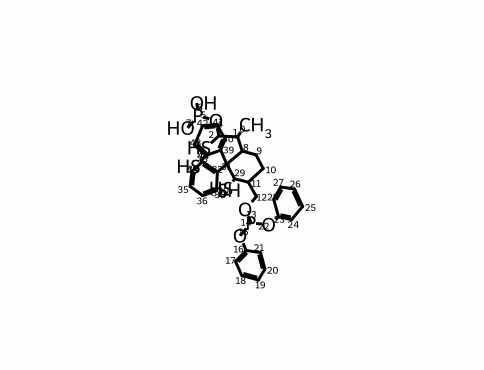 CC(C(S)OP(O)O)C1CCC(COP(Oc2ccccc2)Oc2ccccc2)C(S)C1(c1ccccc1S)c1ccccc1S